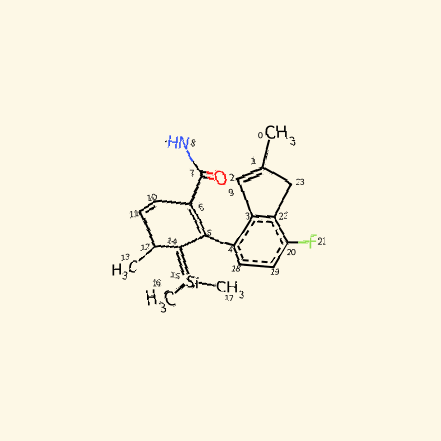 CC1=Cc2c(C3=C(C([NH])=O)C=CC(C)C3=[Si](C)C)ccc(F)c2C1